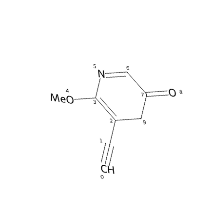 C#CC1=C(OC)N=CC(=O)C1